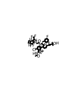 CC(=O)Nc1nn(C)c2c(-c3ccc(C#CC(C)(C)O)nc3[C@H](Cc3cc(F)cc(F)c3)NC(=O)Cn3nc(C(F)F)c4c3C(F)(F)[C@@H]3CC[C@H]43)ccc(Cl)c12